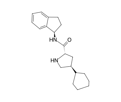 O=C(N[C@@H]1CCc2ccccc21)[C@@H]1C[C@@H](C2CCCCC2)CN1